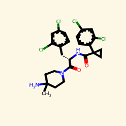 CC1(N)CCN(C(=O)[C@H](Cc2ccc(Cl)cc2Cl)NC(=O)C2(c3ccc(Cl)cc3Cl)CC2)CC1